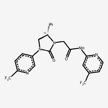 CC(C)[C@H]1CN(c2ccc(C(F)(F)F)nc2)C(=O)N1CC(=O)Nc1cc(C(F)(F)F)ccn1